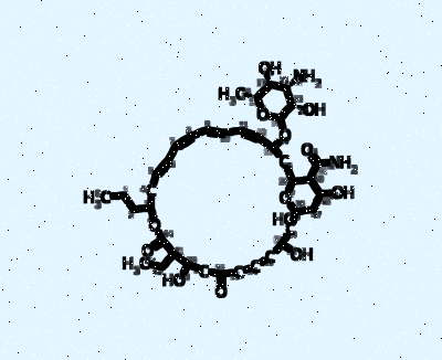 CCCC1C/C=C/C=C\C=C\C=C/C(OC2O[C@H](C)[C@@H](O)[C@H](N)[C@@H]2O)CC2OC(O)(CC(O)CCCC(=O)CC(O)C(CC)C(=O)O1)CC(O)C2C(N)=O